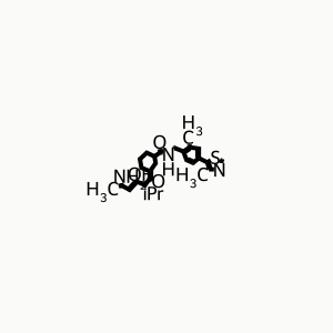 Cc1cc(-c2scnc2C)ccc1CNC(=O)C1CCCC(C(=O)[C@@H](/C(O)=C/C(C)N)C(C)C)C1